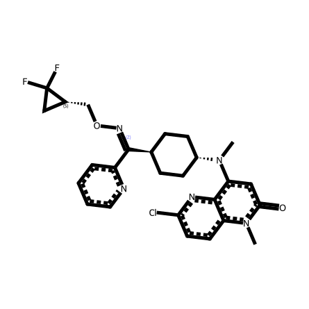 Cn1c(=O)cc(N(C)[C@H]2CC[C@H](/C(=N/OC[C@@H]3CC3(F)F)c3ccccn3)CC2)c2nc(Cl)ccc21